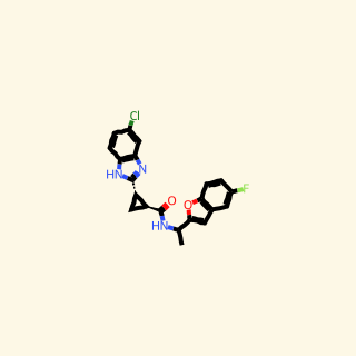 CC(NC(=O)[C@H]1C[C@@H]1c1nc2cc(Cl)ccc2[nH]1)c1cc2cc(F)ccc2o1